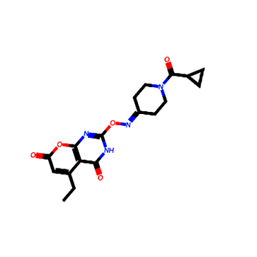 CCc1cc(=O)oc2nc(ON=C3CCN(C(=O)C4CC4)CC3)[nH]c(=O)c12